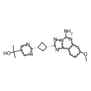 COc1ccc2c(c1)nc(N)n1nc([C@H]3C[C@@H](c4ncc(C(C)(C)O)cn4)C3)nc21